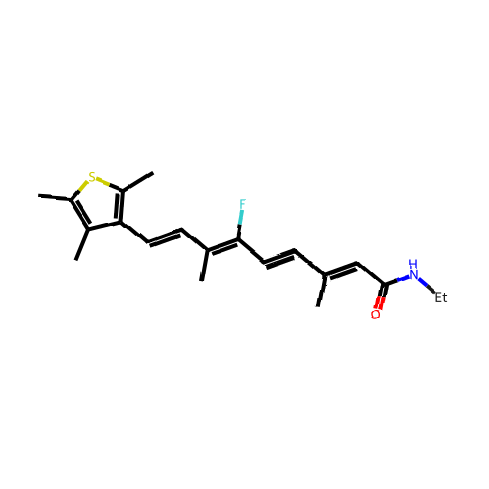 CCNC(=O)/C=C(C)/C=C/C(F)=C(C)/C=C/c1c(C)sc(C)c1C